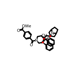 COC(=O)c1ccc(C(=O)N2CCC(CCN3C4CCC3CC(n3c(C)nc5ccccc53)C4)(c3ccccc3)CC2)cc1